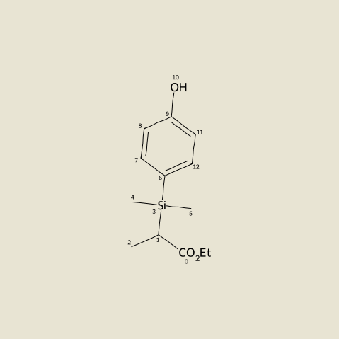 CCOC(=O)C(C)[Si](C)(C)c1ccc(O)cc1